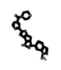 Cn1ncc2ccc(-c3n[nH]c4c3Cc3sc(-c5cc(C(=O)N6CCOCC6)ccn5)cc3-4)cc21